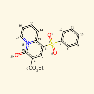 CCOC(=O)c1cc(S(=O)(=O)c2ccccc2)c2ccccn2c1=O